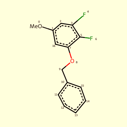 COc1cc(F)c(F)c(OCc2ccccc2)c1